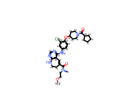 CCOCCN(C)C(=O)C1=Cc2c(ncnc2Nc2ccc(OC3CCN(C(=O)C4CCCC4)CC3)c(Cl)c2)NCC1